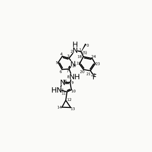 C[C@H](Nc1cccc(Nc2cc(C3CC3)[nH]n2)n1)c1ccc(F)cc1